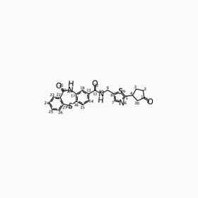 O=C1CCC(c2ncc(CNC(=O)c3ccc4c(c3)NC(=O)c3ccccc3S4)s2)C1